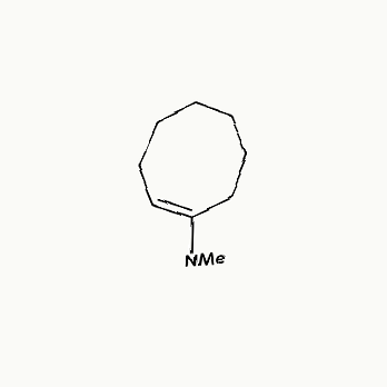 CNC1=CCCCCCC1